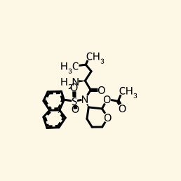 CC(=O)OC1OCCC[C@@H]1N(C(=O)[C@@H](N)CC(C)C)S(=O)(=O)c1cccc2ccccc12